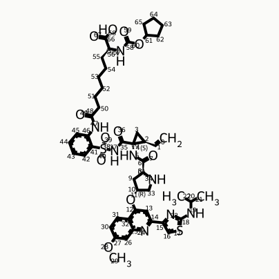 C=C[C@@H]1C[C@]1(NC(=O)[C@@H]1C[C@@H](Oc2cc(-c3csc(NC(C)C)n3)nc3cc(OC)ccc23)CN1)C(=O)NS(=O)(=O)c1ccccc1NC(=O)CCCCCC[C@H](NC(=O)OC1CCCC1)C(=O)O